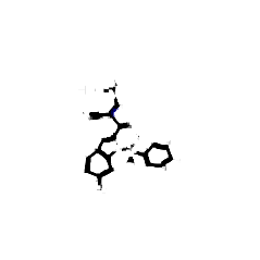 CN(C)/C=C(\C#N)C(=O)c1cc2ccc(Br)cc2n1S(=O)(=O)c1ccccc1